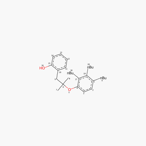 CCCCc1ccc(OC(C)(C)Cc2ccccc2O)c(CCCC)c1CCCC